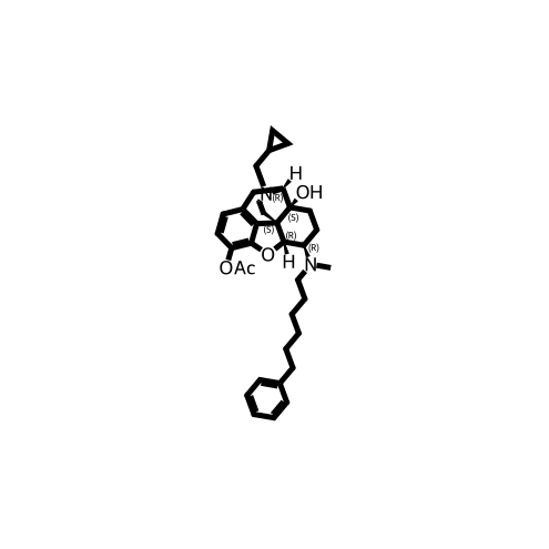 CC(=O)Oc1ccc2c3c1O[C@H]1[C@H](N(C)CCCCCCc4ccccc4)CC[C@@]4(O)[C@@H](C2)N(CC2CC2)CC[C@]314